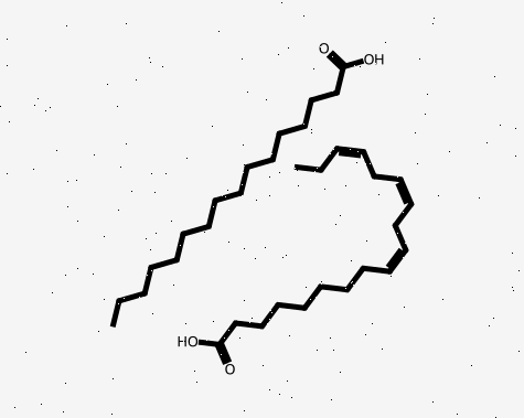 CC/C=C\C/C=C\C/C=C\CCCCCCCC(=O)O.CCCCCCCCCCCCCCCC(=O)O